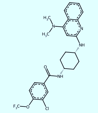 CN(C)c1cc(N[C@H]2CC[C@@H](NC(=O)c3ccc(OC(F)(F)F)c(Cl)c3)CC2)nc2ccccc12